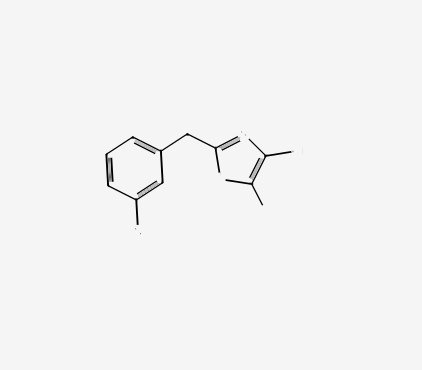 Cc1nc(Cc2cccc([N+](=O)[O-])c2)sc1C(=O)O